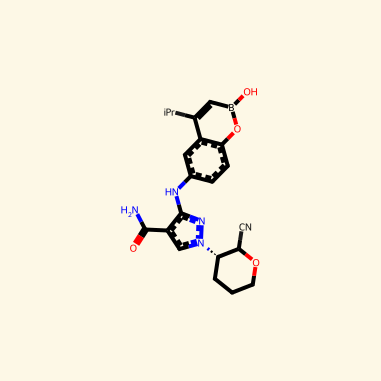 CC(C)C1=CB(O)Oc2ccc(Nc3nn([C@H]4CCCOC4C#N)cc3C(N)=O)cc21